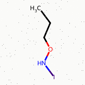 CCCONI